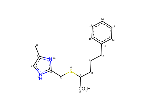 Cc1c[nH]c(CSC(CCCc2ccccc2)C(=O)O)n1